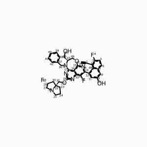 C#Cc1c(F)ccc2cc(O)cc(-c3nc4c5c(nc(OC[C@@]67CCCN6C[C@H](F)C7)nc5c3F)N(Cc3ccccc3)[C@@H](CO)CO4)c12